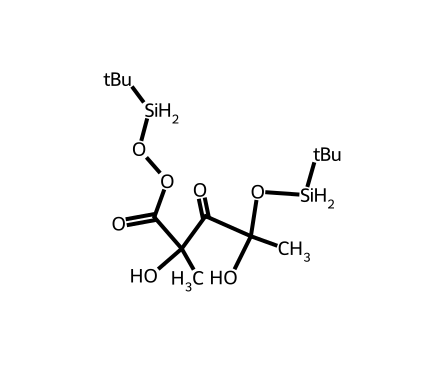 CC(C)(C)[SiH2]OOC(=O)C(C)(O)C(=O)C(C)(O)O[SiH2]C(C)(C)C